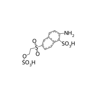 Nc1ccc2cc(S(=O)(=O)CCOS(=O)(=O)O)ccc2c1S(=O)(=O)O